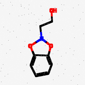 OCCN1Oc2ccccc2O1